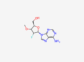 COC1C(F)[C@H](n2cnc3c(N)ncnc32)O[C@@H]1CO